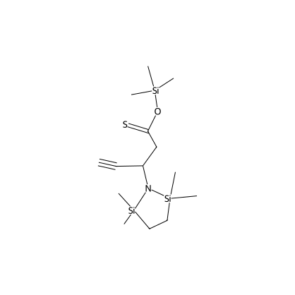 C#CC(CC(=S)O[Si](C)(C)C)N1[Si](C)(C)CC[Si]1(C)C